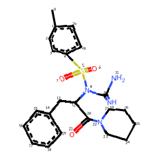 Cc1ccc(S(=O)(=O)N(C(=N)N)C(Cc2ccccc2)C(=O)N2CCCCC2)cc1